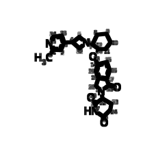 Cc1cc(C2CN([C@@H]3CCCC[C@@H]3Oc3ccc4c(c3)CN(C3CCC(=O)NC3=O)C4=O)C2)ccn1